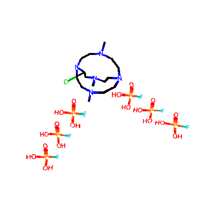 CN1CCN2CCN(C)CCN(CC1)C(Cl)CN(C)CC2.O=P(O)(O)F.O=P(O)(O)F.O=P(O)(O)F.O=P(O)(O)F.O=P(O)(O)F.O=P(O)(O)F